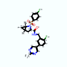 C[C@H]1[C@H]2C[C@@H](C(=O)NCc3cc(-c4cnc(C(F)(F)F)nc4)ccc3F)N(S(=O)(=O)c3ccc(F)cc3)[C@@H]12